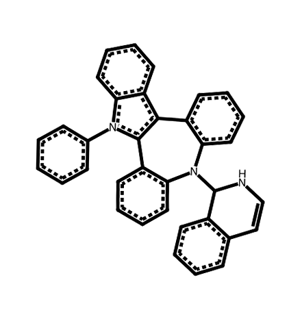 C1=Cc2ccccc2C(N2c3ccccc3-c3c(n(-c4ccccc4)c4ccccc34)-c3ccccc32)N1